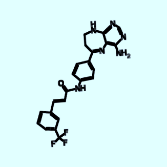 Nc1ncnc2c1N=C(c1ccc(NC(=O)C=Cc3cccc(C(F)(F)F)c3)cc1)CCN2